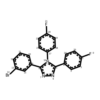 Fc1ccc(-c2nnc(-c3cccc(Br)c3)n2-c2ccc(F)cc2)cc1